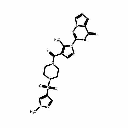 Cc1c(C(=O)N2CCN(S(=O)(=O)c3cnn(C)c3)CC2)cnn1-c1nn2cccc2c(=O)[nH]1